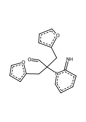 N=c1ccccn1C(C=O)(Cc1ccco1)Cc1ccco1